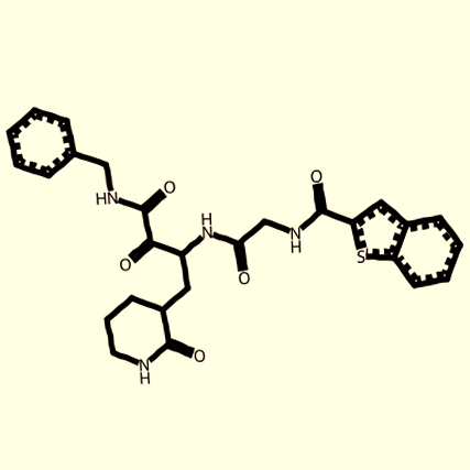 O=C(CNC(=O)c1cc2ccccc2s1)NC(CC1CCCNC1=O)C(=O)C(=O)NCc1ccccc1